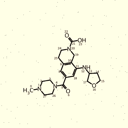 CN1CCN(C(=O)c2cc3c(c(NC4CCOC4)c2)CN(C(=O)O)CC3)CC1